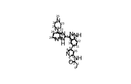 CCC(=O)Nc1cncc(-c2ccc3[nH]nc(-c4nc5c(N6CCN(C)CC6)ccnc5[nH]4)c3c2)c1